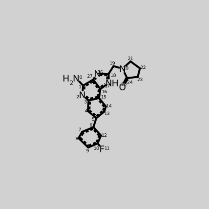 Nc1nc2cc(-c3cccc(F)c3)ccc2c2[nH]c(CN3CCCC3=O)nc12